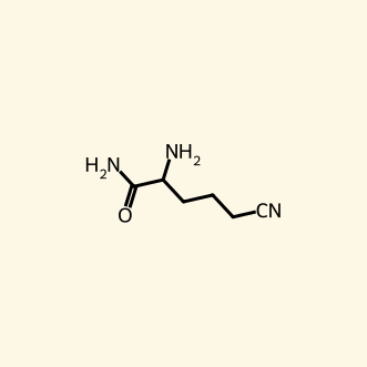 N#CCCCC(N)C(N)=O